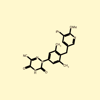 COc1ncc(Cc2c(C)cc(-n3nc(C#N)c(=O)[nH]c3=O)cc2C)cc1C(C)C